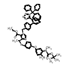 CCOC(=O)c1c(C(C)Sc2ccc(Oc3ccc(N)c(N(C)C(=O)OC(C)(C)C)c3)cc2)ncn1Cc1ccc(-c2ccccc2-c2nnnn2C(c2ccccc2)(c2ccccc2)c2ccccc2)cc1